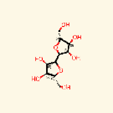 OC[C@H]1OC(C2O[C@H](CO)[C@@H](O)[C@H]2O)[C@H](O)[C@@H]1O